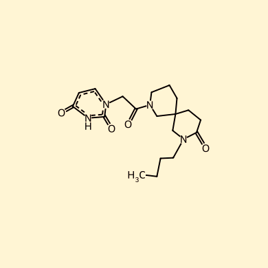 CCCCN1CC2(CCCN(C(=O)Cn3ccc(=O)[nH]c3=O)C2)CCC1=O